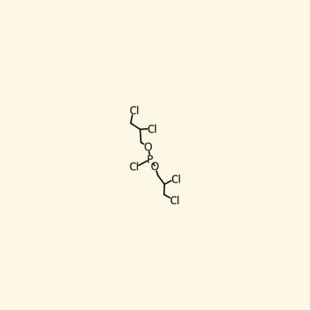 ClCC(Cl)COP(Cl)OCC(Cl)CCl